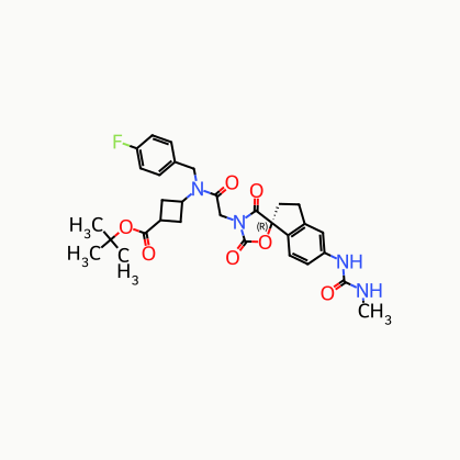 CNC(=O)Nc1ccc2c(c1)CC[C@@]21OC(=O)N(CC(=O)N(Cc2ccc(F)cc2)C2CC(C(=O)OC(C)(C)C)C2)C1=O